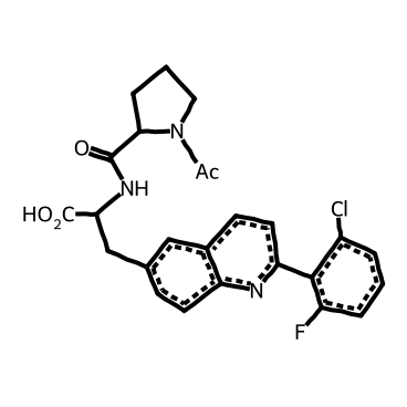 CC(=O)N1CCCC1C(=O)NC(Cc1ccc2nc(-c3c(F)cccc3Cl)ccc2c1)C(=O)O